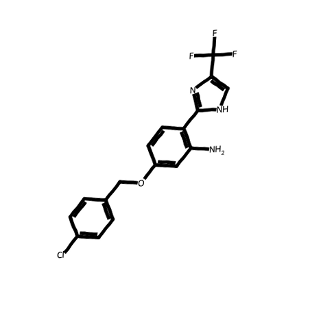 Nc1cc(OCc2ccc(Cl)cc2)ccc1-c1nc(C(F)(F)F)c[nH]1